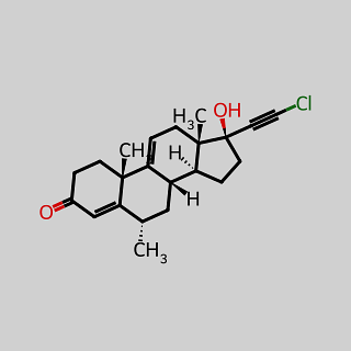 C[C@H]1C[C@@H]2C(=CC[C@@]3(C)[C@H]2CC[C@@]3(O)C#CCl)[C@@]2(C)CCC(=O)C=C12